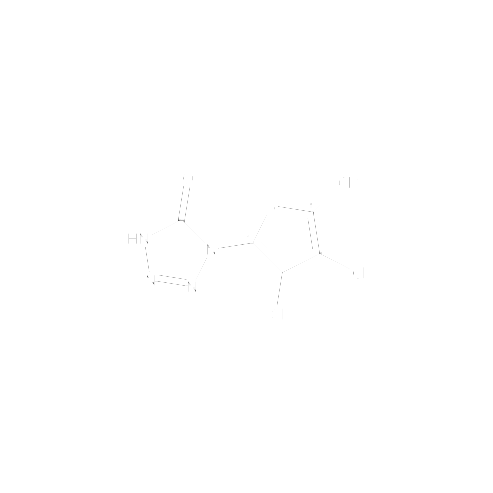 O=c1[nH]nnn1-c1sc(Cl)c(Cl)c1Cl